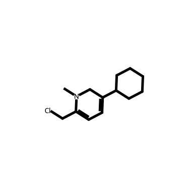 CN1CC(C2CCCCC2)=CC=C1CCl